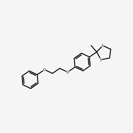 CC1(c2ccc(OCCOc3ccccc3)cc2)SCCS1